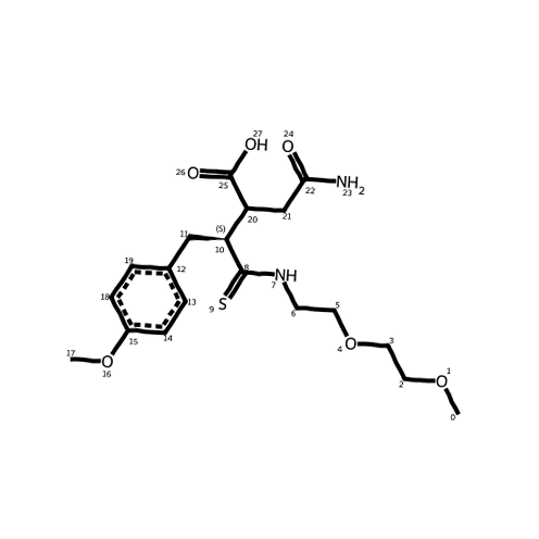 COCCOCCNC(=S)[C@@H](Cc1ccc(OC)cc1)C(CC(N)=O)C(=O)O